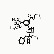 COC(=O)c1cc(-c2nnc([C@](C)(N)Cc3ccccc3)o2)cc(N(C)S(C)(=O)=O)c1